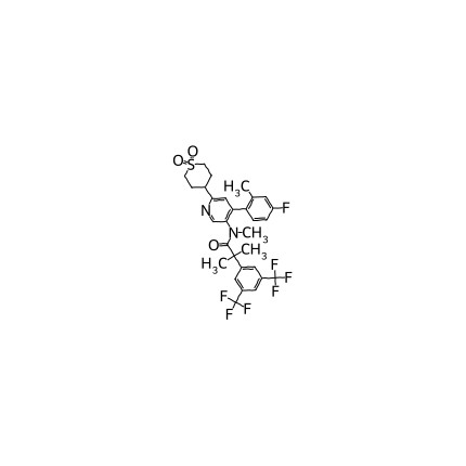 Cc1cc(F)ccc1-c1cc(C2CCS(=O)(=O)CC2)ncc1N(C)C(=O)C(C)(C)c1cc(C(F)(F)F)cc(C(F)(F)F)c1